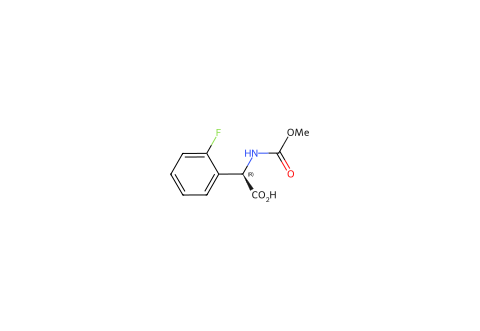 COC(=O)N[C@@H](C(=O)O)c1ccccc1F